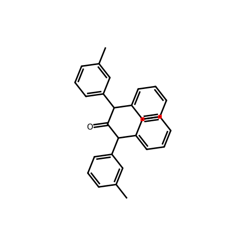 Cc1cccc(C(C(=O)C(c2ccccc2)c2cccc(C)c2)c2ccccc2)c1